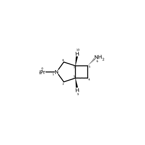 CC(C)N1C[C@H]2C[C@@H](N)[C@H]2C1